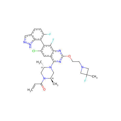 C=CC(=O)N1C[C@H](C)N(c2nc(OCCN3CC(C)(F)C3)nc3c(F)c(-c4c(F)ccc5cn[nH]c45)c(Cl)cc23)C[C@H]1C